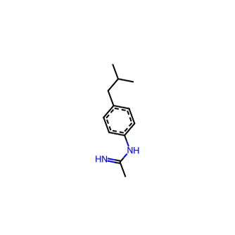 CC(=N)Nc1ccc(CC(C)C)cc1